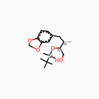 C[C@@H](Cc1ccc2c(c1)OCO2)[C@@H](CO)O[Si](C)(C)C(C)(C)C